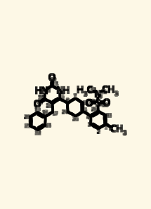 Cc1ccc(C2=CCC(c3[nH]c(=O)[nH]c(=O)c3Cc3ccccc3)CC2)c(S(=O)(=O)N(C)C)c1